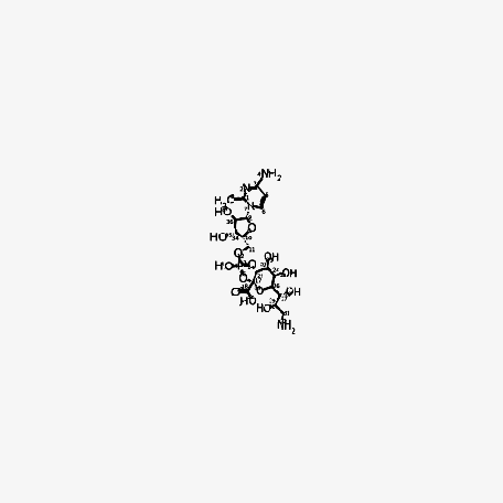 C=C1N=C(N)C=CN1[C@@H]1O[C@H](COP(=O)(O)O[C@@]2(C(=O)O)C[C@@H](O)[C@@H](O)C([C@H](O)[C@H](O)CN)O2)[C@H](O)C1O